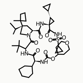 CC(C)[C@@]1(C2(C)CCC2)C[C@@H](C(=O)N[C@]2(C(=O)NS(=O)(=O)C3CC3)C[C@H]2C2CC2)N(C(=O)[C@@H](NC(=O)[C@@H](NC(=O)OC2CCOCC2)C2CCCCC2)C(C)(C)C)C1